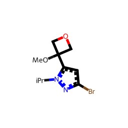 COC1(c2cc(Br)nn2C(C)C)COC1